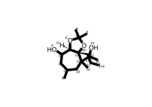 CC1CC(O)[C@H]2OC(C)(C)O[C@]2(CCI)C(C)(C(C)O)C1